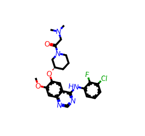 COc1cc2ncnc(Nc3cccc(Cl)c3F)c2cc1O[C@H]1CCCN(C(=O)CN(C)C)C1